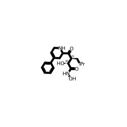 CC(C)C[C@H](C(=O)C1CC(c2ccccc2)=CCN1)[C@@H](O)C(=O)NO